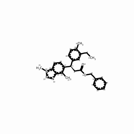 CCc1cc([C@@H](CC(=O)OCc2ccccc2)c2ccc3c(nnn3C)c2C)ccc1C